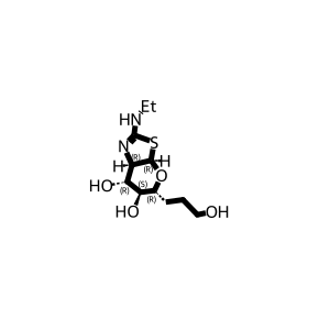 CCNC1=N[C@@H]2[C@@H](O)[C@H](O)[C@@H](CCCO)O[C@@H]2S1